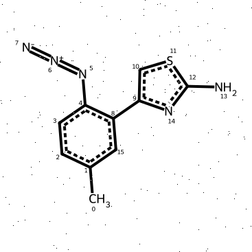 Cc1ccc(N=[N+]=[N-])c(-c2csc(N)n2)c1